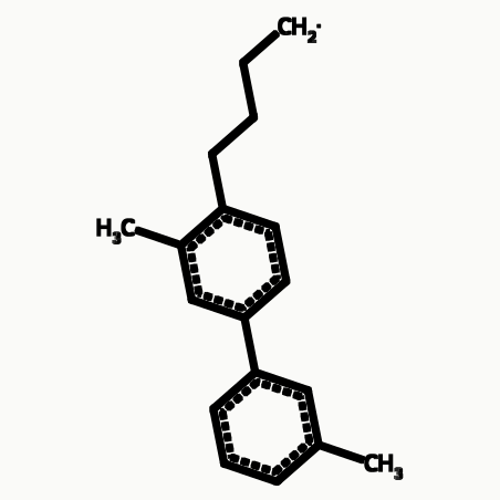 [CH2]CCCc1ccc(-c2cccc(C)c2)cc1C